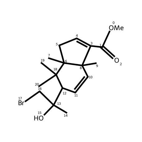 COC(=O)C1=CCC2(C)C1(C)C=CC(C(C)(O)CBr)C2(C)C